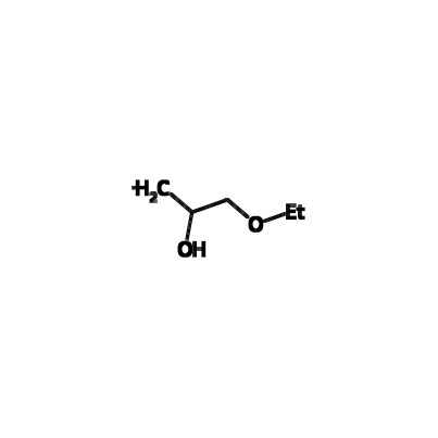 [CH2]COCC([CH2])O